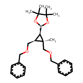 CC1(C)OB([C@@H]2[C@H](COCc3ccccc3)[C@]2(C)COCc2ccccc2)OC1(C)C